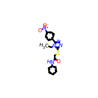 CCn1c(SCC(=O)Nc2ccccc2)nnc1-c1ccc([N+](=O)[O-])cc1